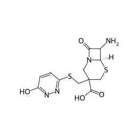 NC1C(=O)N2CC(CSc3ccc(O)nn3)(C(=O)O)CS[C@H]12